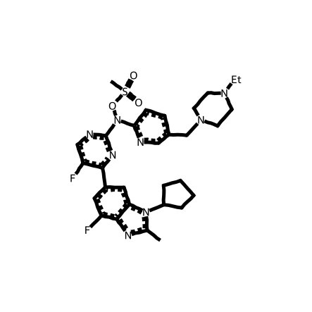 CCN1CCN(Cc2ccc(N(OS(C)(=O)=O)c3ncc(F)c(-c4cc(F)c5nc(C)n(C6CCCC6)c5c4)n3)nc2)CC1